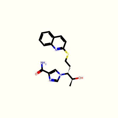 C[C@H](O)[C@@H](CCSc1ccc2ccccc2n1)n1cnc(C(N)=O)c1